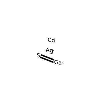 [Ag].[Cd].[S]=[Ga]